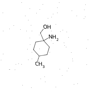 CC1CCC(N)(CO)CC1